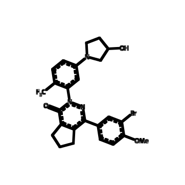 COc1ccc(-c2nn(-c3cc(N4CCC(O)C4)ccc3C(F)(F)F)c(=O)c3c2CCC3)cc1Br